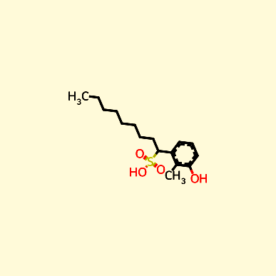 CCCCCCCCC(c1cccc(O)c1C)S(=O)(=O)O